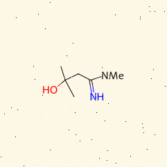 CNC(=N)CC(C)(C)O